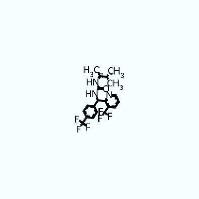 CC(C)[C@H](C)NC(=O)NC(c1ccc(C(F)(F)F)cc1)c1ncccc1C(F)(F)F